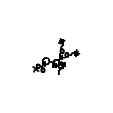 CC(C)(C)OC(=O)N1CCCC(c2cc(N(COCC[Si](C)(C)C)COCC[Si](C)(C)C)n3ncc(I)c3n2)C1